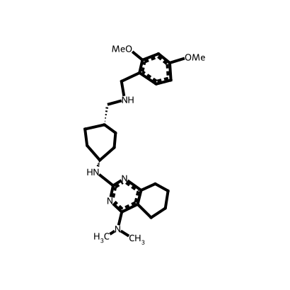 COc1ccc(CNC[C@H]2CC[C@@H](Nc3nc4c(c(N(C)C)n3)CCCC4)CC2)c(OC)c1